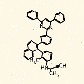 C#CC(C)Nc1cccc(-c2c(-c3cccc(-c4nc(-c5ccccc5)cc(-c5ccccc5)n4)c3)ccc3ccccc23)c1C